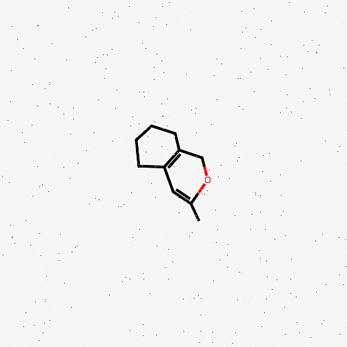 CC1=CC2=C(CCCC2)CO1